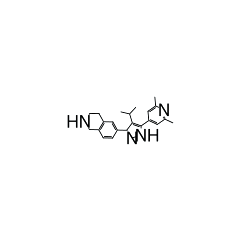 Cc1cc(-c2[nH]nc(-c3ccc4c(c3)CCNC4)c2C(C)C)cc(C)n1